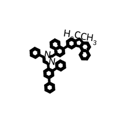 CC1(C)c2ccc(-c3ccc(-c4nc(-c5ccccc5)cc(-c5ccc(-c6ccccc6)cc5-c5ccccc5)n4)c4ccccc34)cc2-c2c1ccc1ccccc21